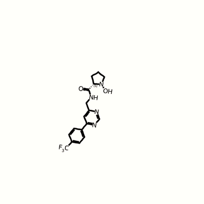 O=C(NCc1cc(-c2ccc(C(F)(F)F)cc2)ncn1)[C@@H]1CCCN1O